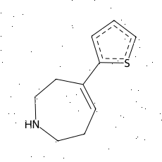 C1=C(c2cccs2)CCNCC1